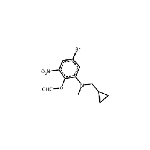 CN(CC1CC1)c1cc(Br)cc([N+](=O)[O-])c1OC=O